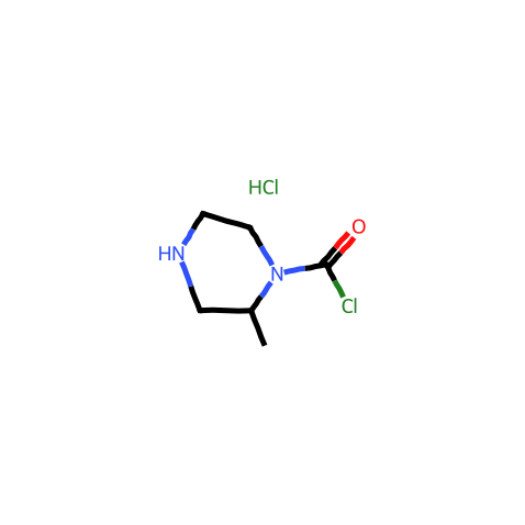 CC1CNCCN1C(=O)Cl.Cl